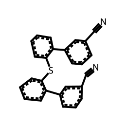 N#Cc1cccc(-c2ccccc2Sc2ccccc2-c2cccc(C#N)c2)c1